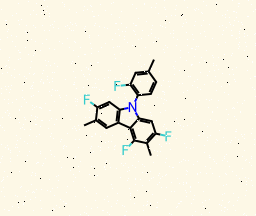 Cc1ccc(-n2c3cc(F)c(C)cc3c3c(F)c(C)c(F)cc32)c(F)c1